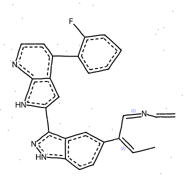 C=C/N=C\C(=C/C)c1ccc2[nH]nc(-c3cc4c(-c5ccccc5F)ccnc4[nH]3)c2c1